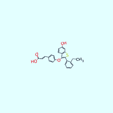 CCc1ccccc1-c1sc2cc(O)ccc2c1Oc1ccc(/C=C/C(=O)O)cc1